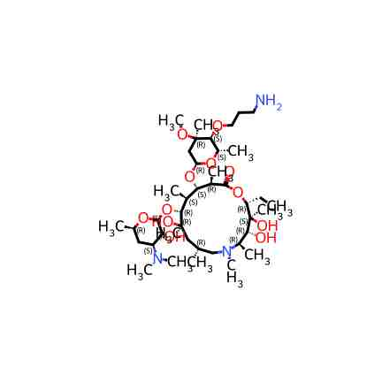 CC[C@H]1OC(=O)[C@H](C)[C@@H](O[C@H]2C[C@@](C)(OC)[C@@H](OCCCN)[C@H](C)O2)[C@H](C)[C@@H](O[C@@H]2O[C@H](C)C[C@H](N(C)C)[C@H]2O)[C@](C)(O)C[C@@H](C)CN(C)[C@H](C)[C@@H](O)[C@]1(C)O